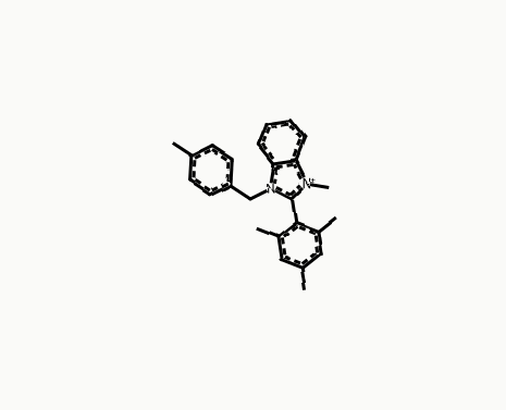 Cc1ccc(Cn2c(-c3c(C)cc(C)cc3C)[n+](C)c3ccccc32)cc1